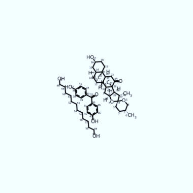 C[C@@H]1CC[C@@]2(OC1)O[C@H]1C[C@H]3[C@@H]4CC[C@H]5C[C@@H](O)CC[C@]5(C)[C@H]4CC(=O)[C@]3(C)[C@H]1[C@@H]2C.O=C(c1ccc(O)cc1)c1ccc(O)cc1.OCCCCCCCCCCCCO